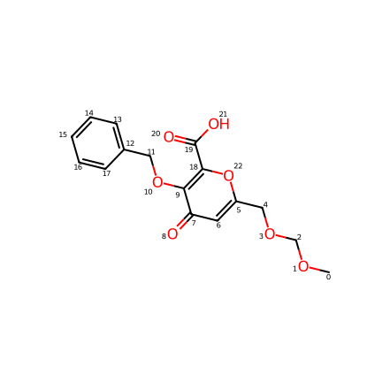 COCOCc1cc(=O)c(OCc2ccccc2)c(C(=O)O)o1